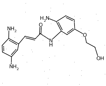 Nc1ccc(N)c(C=CC(=O)Nc2cc(OCCO)ccc2N)c1